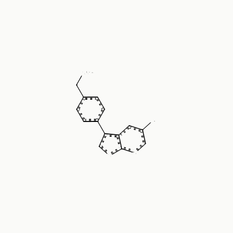 CNCc1ccc(-c2c[nH]c3ncc(Br)cc23)cc1